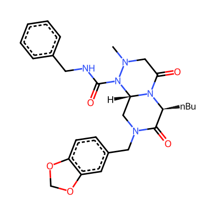 CCCC[C@H]1C(=O)N(Cc2ccc3c(c2)OCO3)C[C@H]2N1C(=O)CN(C)N2C(=O)NCc1ccccc1